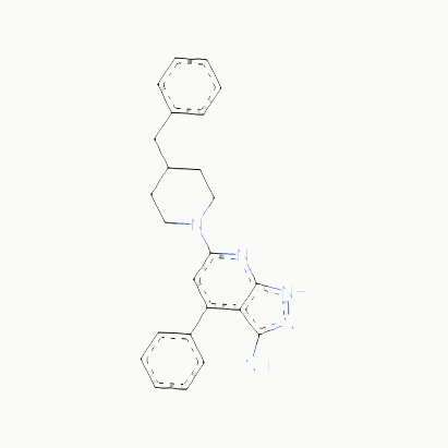 Nc1n[nH]c2nc(N3CCC(Cc4ccccc4)CC3)cc(-c3ccccc3)c12